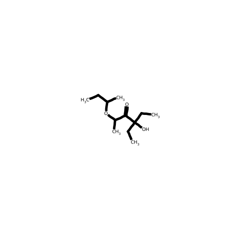 CCC(C)OC(C)C(=O)C(O)(CC)CC